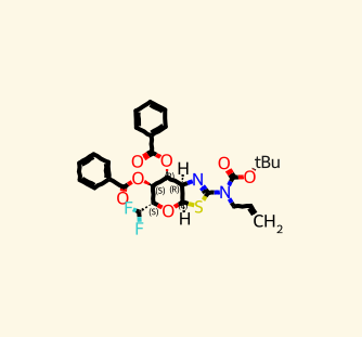 C=CCN(C(=O)OC(C)(C)C)C1=N[C@@H]2[C@@H](OC(=O)c3ccccc3)[C@H](OC(=O)c3ccccc3)[C@@H](C(F)F)O[C@@H]2S1